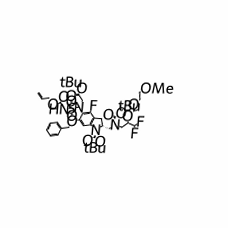 C=CCOC(=O)NS(=O)(=O)N(CC(=O)OC(C)(C)C)c1c(OCc2ccccc2)cc2c(c1F)C[C@H](CN(CC(OCOCCOC)C(F)F)C(=O)OC(C)(C)C)N2C(=O)OC(C)(C)C